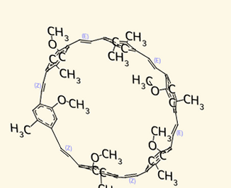 COc1cc2c(C)cc1/C=C\c1cc(OC)c(cc1C)/C=C\c1cc(OC)c(cc1C)/C=C/c1cc(C)c(cc1C)/C=C/c1cc(C)c(cc1OC)/C=C/c1cc(C)c(cc1OC)/C=C\2